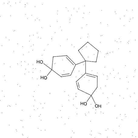 OC1(O)C=CC(C2(C3=CCC(O)(O)C=C3)CCCC2)=CC1